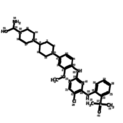 COc1cc(N2CCC(N3CCN(C(N)O)CC3)CC2)ccc1Nc1ncc(Cl)c(Nc2ccccc2P(C)(C)=O)n1